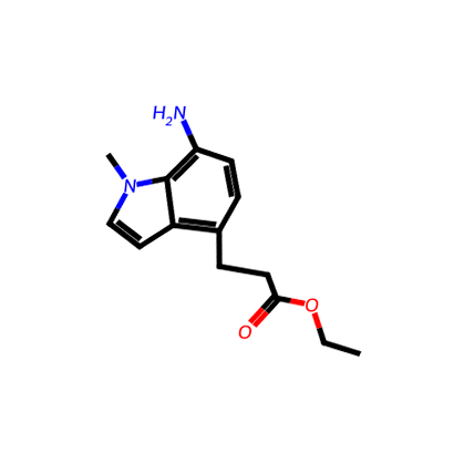 CCOC(=O)CCc1ccc(N)c2c1ccn2C